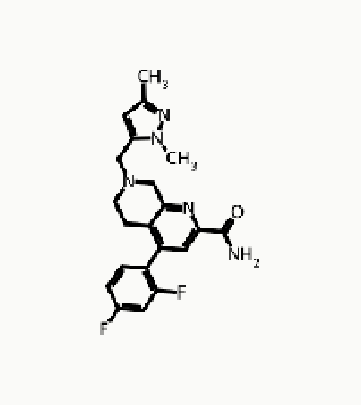 Cc1cc(CN2CCc3c(-c4ccc(F)cc4F)cc(C(N)=O)nc3C2)n(C)n1